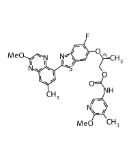 COc1cnc2c(-c3nc4cc(F)c(O[C@@H](C)COC(=O)Nc5cnc(OC)c(C)c5)cc4s3)cc(C)cc2n1